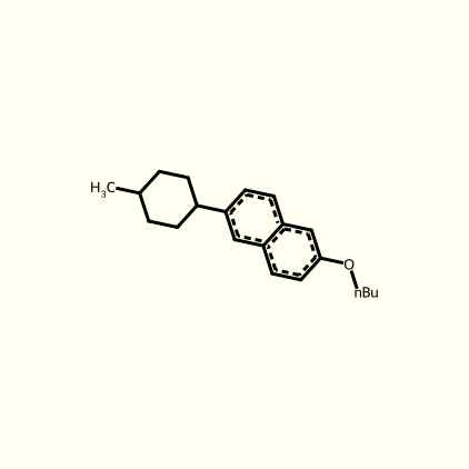 CCCCOc1ccc2cc(C3CCC(C)CC3)ccc2c1